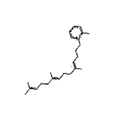 CC(C)=CCC/C(C)=C/CC/C(C)=C/CCC[n+]1ccccc1C